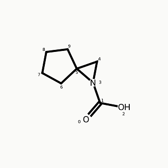 O=C(O)N1CC12CCCC2